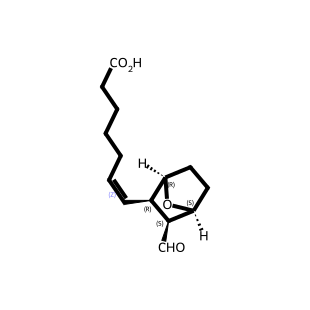 O=C[C@H]1[C@@H](/C=C\CCCCC(=O)O)[C@H]2CC[C@@H]1O2